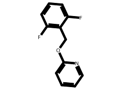 Fc1cccc(F)c1COc1ccccn1